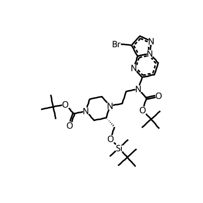 CC(C)(C)OC(=O)N1CCN(CCN(C(=O)OC(C)(C)C)c2ccn3ncc(Br)c3n2)[C@H](CO[Si](C)(C)C(C)(C)C)C1